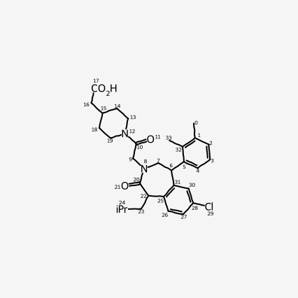 Cc1cccc(C2CN(CC(=O)N3CCC(CC(=O)O)CC3)C(=O)C(CC(C)C)c3ccc(Cl)cc32)c1C